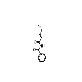 CC(C)C/C=C/C(=O)NC(=O)c1ccccc1